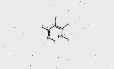 C/N=C(C)\C(C)=C(\C)NC